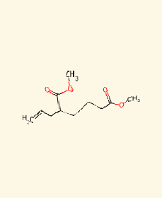 C=CCC(CCCC(=O)OC)C(=O)OC